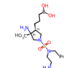 CC(C)CN(CCN)S(=O)(=O)N1C[C@H](CCCB(O)O)[C@](N)(C(=O)O)C1